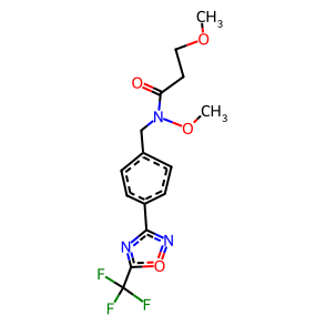 COCCC(=O)N(Cc1ccc(-c2noc(C(F)(F)F)n2)cc1)OC